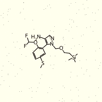 CSc1ccc(OC(F)F)c(-c2c(N)cnn2COCC[Si](C)(C)C)c1